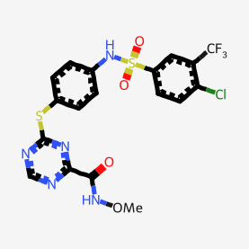 CONC(=O)c1ncnc(Sc2ccc(NS(=O)(=O)c3ccc(Cl)c(C(F)(F)F)c3)cc2)n1